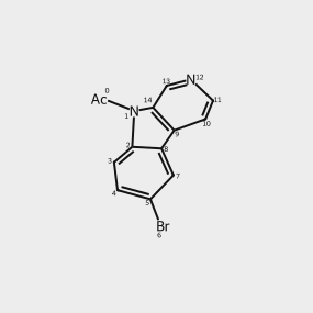 CC(=O)n1c2ccc(Br)cc2c2ccncc21